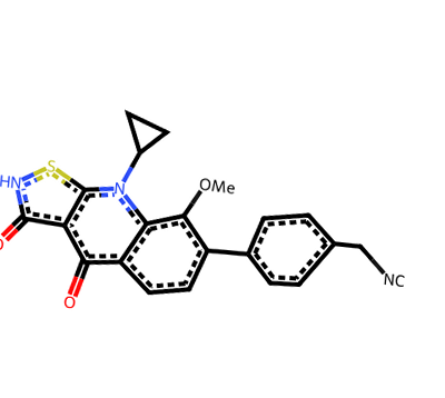 [C-]#[N+]Cc1ccc(-c2ccc3c(=O)c4c(=O)[nH]sc4n(C4CC4)c3c2OC)cc1